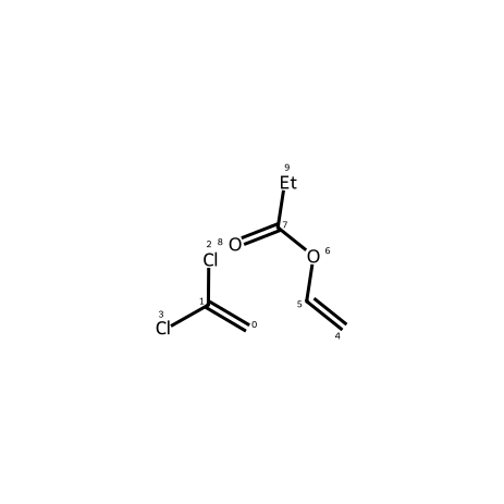 C=C(Cl)Cl.C=COC(=O)CC